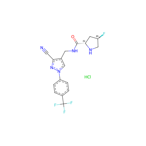 Cl.N#Cc1nn(-c2ccc(C(F)(F)F)cc2)cc1CNC(=O)[C@@H]1C[C@@H](F)CN1